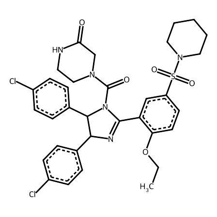 CCOc1ccc(S(=O)(=O)N2CCCCC2)cc1C1=NC(c2ccc(Cl)cc2)C(c2ccc(Cl)cc2)N1C(=O)N1CCNC(=O)C1